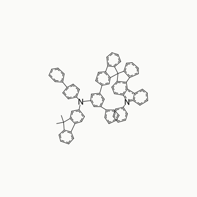 CC1(C)c2ccccc2-c2ccc(N(c3ccc(-c4ccccc4)cc3)c3cc(-c4ccccc4)cc(-c4ccc5c(c4)C4(c6ccccc6-5)c5ccccc5-c5c4ccc4c5c5ccccc5n4-c4ccccc4)c3)cc21